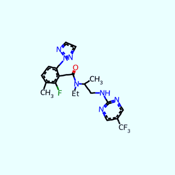 CCN(C(=O)c1c(-n2nccn2)ccc(C)c1F)C(C)CNc1ncc(C(F)(F)F)cn1